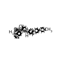 CN1CCN(C2CCN(c3ncc(Nc4ncc(Cl)c(Nc5ccc6nccnc6c5P(C)(C)=O)n4)cc3F)CC2)CC1